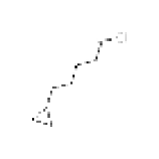 Cl[CH]CCCCC1CC1